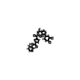 C/C(=N/NC(=O)c1ccc(C(=O)Nc2cccnc2)s1)c1csc(-c2ccc(Cl)c(Cl)c2)c1O